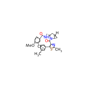 COc1ccc(C(=O)NC[C@@H]2C[C@@H]3CC3N2C(=O)c2nc(C)sc2-c2cccc(C)c2)cc1C(F)(F)F